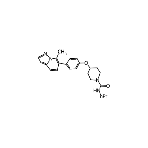 CCCNC(=O)N1CCC(Oc2ccc(-c3ccc4ccnn4c3C)cc2)CC1